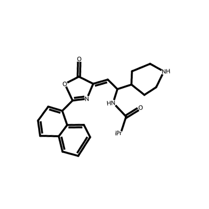 CC(C)C(=O)NC(C=C1N=C(c2cccc3ccccc23)OC1=O)C1CCNCC1